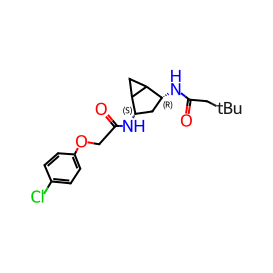 CC(C)(C)CC(=O)N[C@@H]1C[C@H](NC(=O)COc2ccc(Cl)cc2)C2CC21